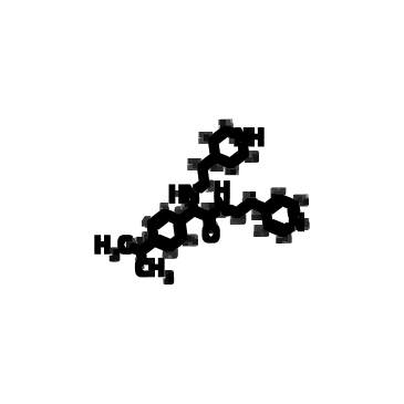 CC(C)c1ccc(C(NCCC2CCNCC2)C(=O)NCCc2ccncc2)cc1